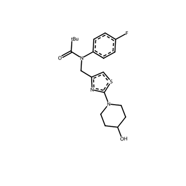 CC(C)(C)C(=O)N(Cc1csc(N2CCC(O)CC2)n1)c1ccc(F)cc1